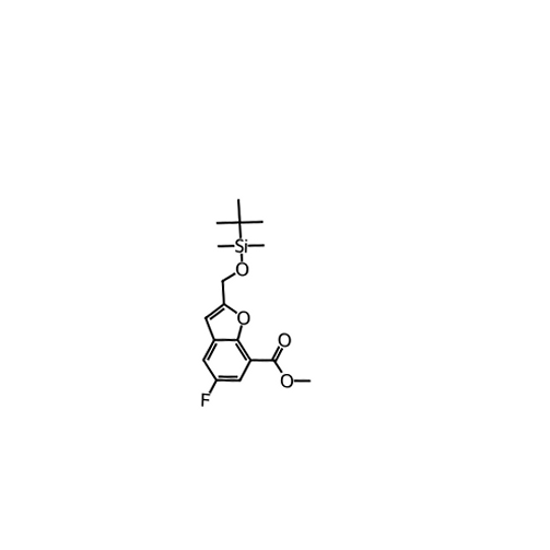 COC(=O)c1cc(F)cc2cc(CO[Si](C)(C)C(C)(C)C)oc12